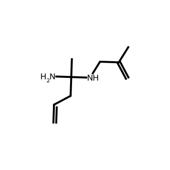 C=CCC(C)(N)NCC(=C)C